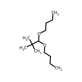 CCCCOC(OCCCC)C(C)(C)C